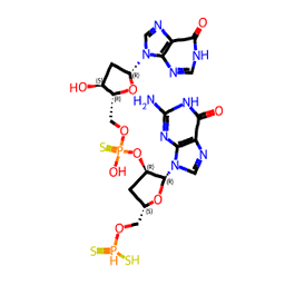 Nc1nc2c(ncn2[C@@H]2O[C@H](CO[PH](=S)S)C[C@H]2OP(O)(=S)OC[C@H]2O[C@@H](n3cnc4c(=O)[nH]cnc43)C[C@@H]2O)c(=O)[nH]1